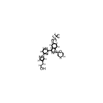 CC(C)(C)[Si](C)(C)Oc1ccc2c(c1)c(-c1nccc(-n3cc(CCO)cn3)n1)nn2C1CCCCO1